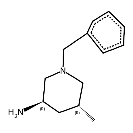 C[C@@H]1C[C@@H](N)CN(Cc2ccccc2)C1